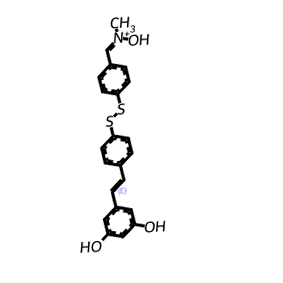 C[N+](O)=Cc1ccc(SSc2ccc(/C=C/c3cc(O)cc(O)c3)cc2)cc1